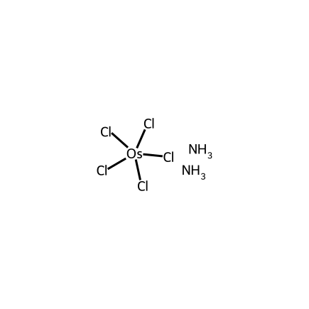 N.N.[Cl][Os]([Cl])([Cl])([Cl])[Cl]